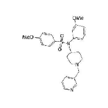 COc1ccc(S(=O)(=O)N(c2cccc(OC)c2)C2CCN(Cc3cccnc3)CC2)cc1